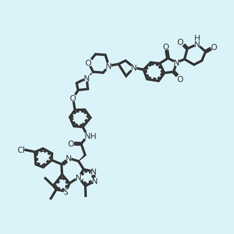 Cc1sc2c(c1C)C(c1ccc(Cl)cc1)=N[C@@H](CC(=O)Nc1ccc(OC3CN([C@H]4CN(C5CN(c6ccc7c(c6)C(=O)N(C6CCC(=O)NC6=O)C7=O)C5)CCO4)C3)cc1)c1nnc(C)n1-2